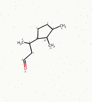 CC1CCC(C(C)CC=O)C1C